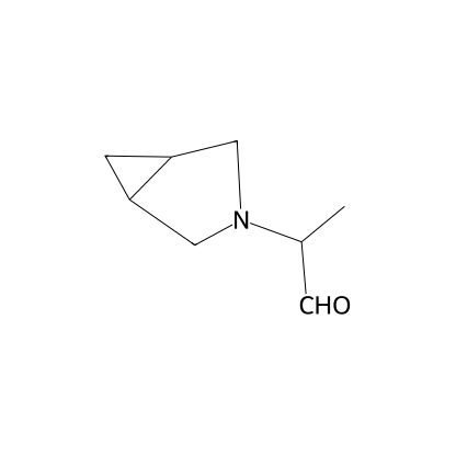 CC(C=O)N1CC2CC2C1